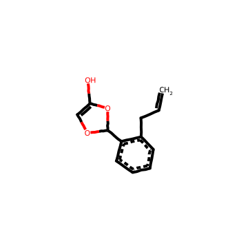 C=CCc1ccccc1C1OC=C(O)O1